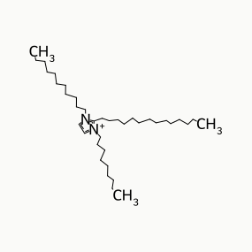 CCCCCCCCCCCCCCc1n(CCCCCCCCCCC)cc[n+]1CCCCCCCCC